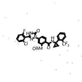 COc1cc(-n2nc(-c3c(F)cccc3Cl)[nH]c2=O)ccc1C(=O)NC1(c2ccccc2C(F)(F)F)CC1